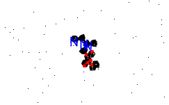 c1ccc(-c2cc(-c3cccc(-c4cccnc4)c3)nc(-c3cccc(-c4cc5c6ccccc6c(-c6cccc7ccccc67)cc5c5ccccc45)c3)n2)cc1